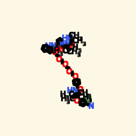 CN[C@@H](C)C(=O)N[C@H](C(=O)N1CCC[C@H]1C(=O)N[C@H]1c2ccccc2C[C@H]1OCCOCCOCCOCCOc1ccc(C(=O)NC2C(C)(C)C(Oc3ccc(C#N)c(Cl)c3)C2(C)C)cc1)C(C)(C)C